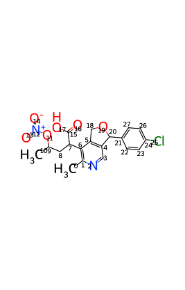 Cc1ncc2c(c1C(CC(C)O[N+](=O)[O-])C(=O)O)COC2c1ccc(Cl)cc1